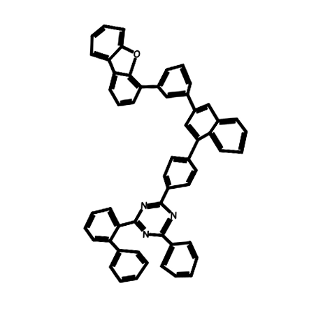 c1ccc(-c2nc(-c3ccc(-c4cc(-c5cccc(-c6cccc7c6oc6ccccc67)c5)cc5ccccc45)cc3)nc(-c3ccccc3-c3ccccc3)n2)cc1